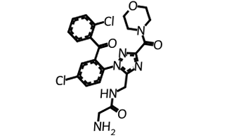 NCC(=O)NCc1nc(C(=O)N2CCOCC2)nn1-c1ccc(Cl)cc1C(=O)c1ccccc1Cl